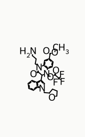 COC(=O)c1ccc2c(c1)N(CCCN)C(=O)C(c1cn(CC3CCCO3)c3ccccc13)N2OC(=O)C(F)(F)F